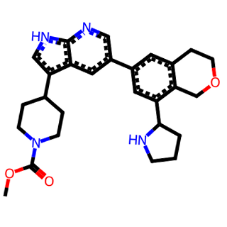 COC(=O)N1CCC(c2c[nH]c3ncc(-c4cc5c(c(C6CCCN6)c4)COCC5)cc23)CC1